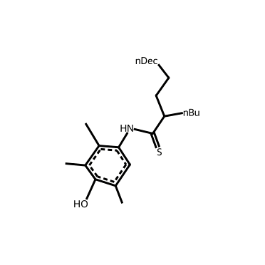 CCCCCCCCCCCCC(CCCC)C(=S)Nc1cc(C)c(O)c(C)c1C